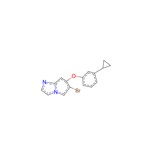 Brc1cn2ccnc2cc1Oc1cccc(C2CC2)c1